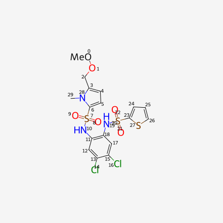 COOCc1ccc(S(=O)(=O)Nc2cc(Cl)c(Cl)cc2NS(=O)(=O)c2cccs2)n1C